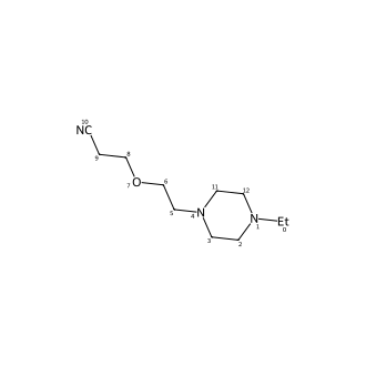 CCN1CCN(CCOCCC#N)CC1